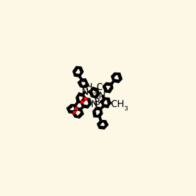 Cc1cc2c3c(c1)N(c1ccc(-c4ccccc4)cc1C)c1ccc(N(c4ccc(-c5ccccc5)cc4)c4ccc(-c5ccccc5)cc4)cc1B3N(c1cccc(-c3ccccc3)c1)c1ccc(-c3ccccc3)cc1-2